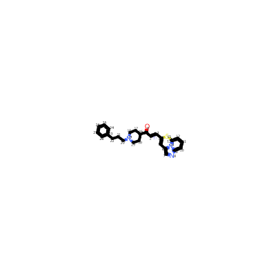 O=C(/C=C/C1=Cc2cnc3cccc(n23)S1)C1CCN(CCCc2ccccc2)CC1